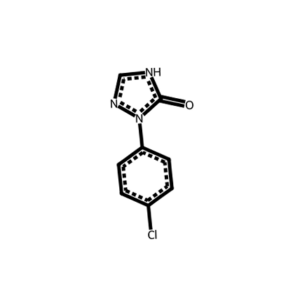 O=c1[nH]cnn1-c1ccc(Cl)cc1